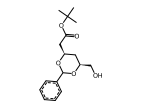 CC(C)(C)OC(=O)C[C@H]1C[C@@H](CO)OC(c2ccccc2)O1